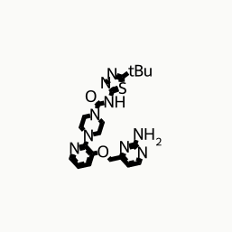 CC(C)(C)c1nnc(NC(=O)N2CCN(c3ncccc3OCc3ccnc(N)n3)CC2)s1